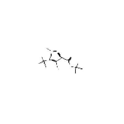 [2H]C([2H])([2H])c1c(Br)c(C(=O)OC(C)(C)C)nn1C